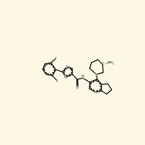 N[C@H]1CCCN(c2c(NC(=O)c3csc(-c4c(F)cccc4F)n3)cnc3c2CCC3)C1